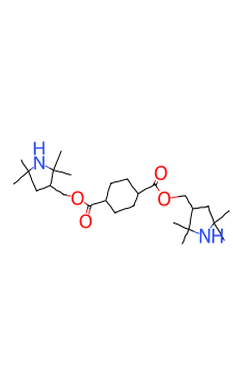 CC1(C)CC(COC(=O)C2CCC(C(=O)OCC3CC(C)(C)NC3(C)C)CC2)C(C)(C)N1